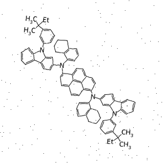 CCC(C)(C)c1cccc(-n2c3ccccc3c3ccc(N(c4cccc5c4CCCC5)c4ccc5ccc6c(N(c7ccc8c9ccccc9n(-c9cccc(C(C)(C)CC)c9)c8c7)c7cccc8c7CCCC8)ccc7ccc4c5c76)cc32)c1